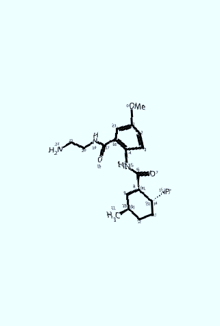 COc1ccc(NC(=O)[C@@H]2C[C@H](C)CC[C@H]2C(C)C)c(C(=O)NCCN)c1